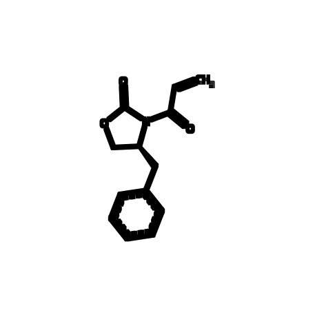 C=CC(=O)N1C(=O)OC[C@@H]1Cc1ccccc1